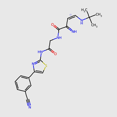 CC(C)(C)N/C=C\C(=N)C(=O)NCC(=O)Nc1nc(-c2cccc(C#N)c2)cs1